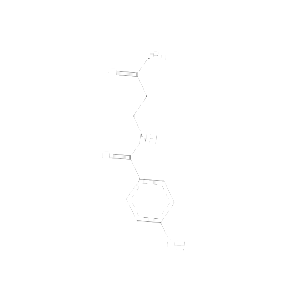 CCC(C)C(=O)CCNC(=O)c1ccc(O)cc1